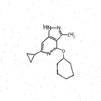 Cc1n[nH]c2cc(C3CC3)nc(OC3CCCCC3)c12